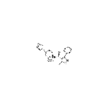 COc1nc(-c2cn[nH]c2)ccc1NC(=O)c1c(-c2ccccc2)noc1C